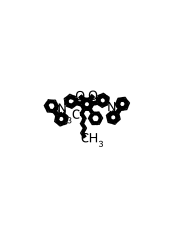 CCCCCC(C)c1c(C2CCCCC2)c2c3cc(-n4c5ccccc5c5ccccc54)ccc3oc2c2oc3ccc(-n4c5c(c6ccccc64)C=CCC5)cc3c12